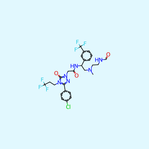 CN(CCNC=O)CC(NC(=O)Cn1nc(-c2ccc(Cl)cc2)n(CCC(F)(F)F)c1=O)c1cccc(C(F)(F)F)c1